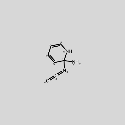 NC1(N=C=O)C=CC=CN1